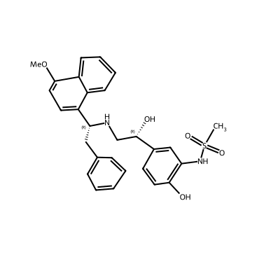 COc1ccc([C@@H](Cc2ccccc2)NC[C@H](O)c2ccc(O)c(NS(C)(=O)=O)c2)c2ccccc12